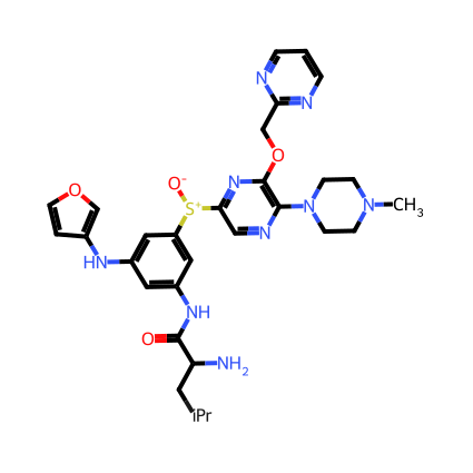 CC(C)CC(N)C(=O)Nc1cc(Nc2ccoc2)cc([S+]([O-])c2cnc(N3CCN(C)CC3)c(OCc3ncccn3)n2)c1